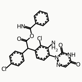 N=C(OC(=O)C(c1ccc(Cl)cc1)c1ccc(-n2ncc(=O)[nH]c2=O)c(N)c1Cl)c1ccccc1